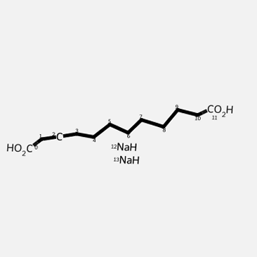 O=C(O)CCCCCCCCCCC(=O)O.[NaH].[NaH]